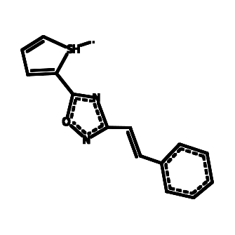 [CH2][SH]1C=CC=C1c1nc(C=Cc2ccccc2)no1